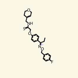 CC/C(=N\OCc1ccc(F)cc1)c1ccc(OCC(=S)NCC2=CCOCC2)cc1